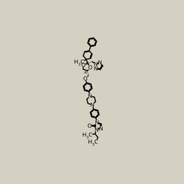 CCC(C)n1ncn(-c2ccc(N3CCN(c4ccc(OC[C@@H]5CO[C@@](Cn6nccn6)(C6(C)C=CC(c7ccccc7)=CC6)O5)cc4)CC3)cc2)c1=O